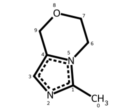 Cc1ncc2n1CCOC2